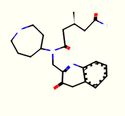 C[C@@H](CC(N)=O)CC(=O)N(CC1=Nc2ccccc2CC1=O)C1CCCNCC1